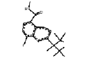 CNC(=O)c1ccc(Cl)c2nc(C(C)(C(C)(C)C)C(C)(C)C)ccc12